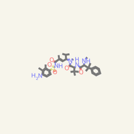 CNC(C(=O)NC(C(=O)N(C)C(C=C(C)C(=O)NS(=O)(=O)c1ccc(N)c(C)c1C)C(C)C)C(C)(C)C)C(C)(C)c1ccccc1